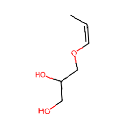 C/C=C\OCC(O)CO